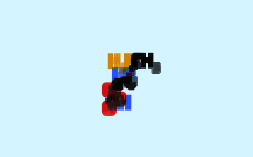 CC(P)CCCNC1CCCC[C@@H]1Cc1ccc2c(c1)CN(C1CCC(=O)NC1=O)C2=O